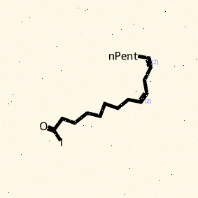 CCCCC/C=C\C/C=C\CCCCCCCC(=O)I